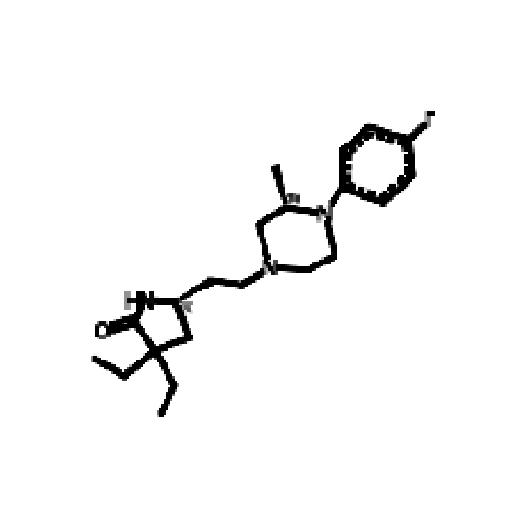 CCC1(CC)C[C@H](CCN2CCN(c3ccc(F)cc3)[C@H](C)C2)NC1=O